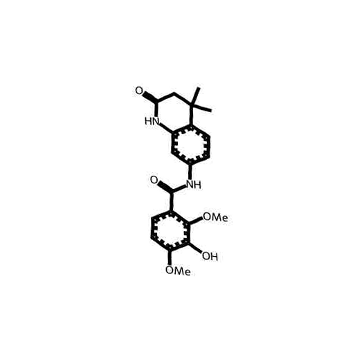 COc1ccc(C(=O)Nc2ccc3c(c2)NC(=O)CC3(C)C)c(OC)c1O